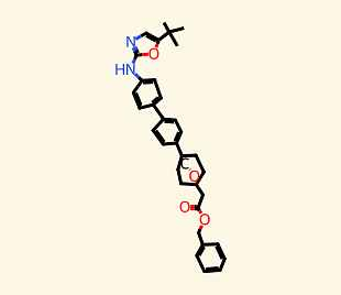 CC(C)(C)c1cnc(Nc2ccc(-c3ccc(C45CCC(CC(=O)OCc6ccccc6)(CC4)OC5)cc3)cc2)o1